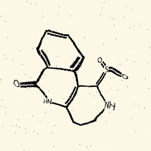 O=c1[nH]c2c(c3ccccc13)C(=S(=O)=O)NCC2